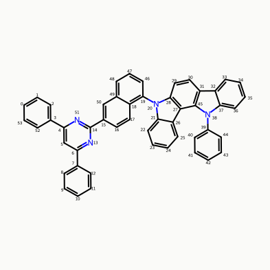 c1ccc(-c2cc(-c3ccccc3)nc(-c3ccc4c(-n5c6ccccc6c6c5ccc5c7ccccc7n(-c7ccccc7)c56)cccc4c3)n2)cc1